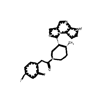 C[C@@H]1CCN(C(=O)Cc2ccc(F)cc2F)C[C@@H]1c1ncc2cnc3[nH]ccc3n12